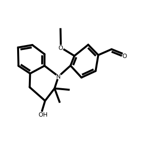 COc1cc(C=O)ccc1N1c2ccccc2CC(O)C1(C)C